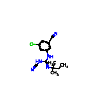 CCC(C)(C)/N=C(/NC#N)Nc1cc(Cl)cc(C#N)c1